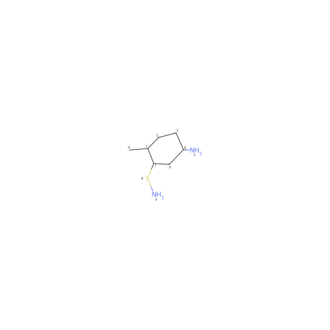 CC1CCC(N)CC1SN